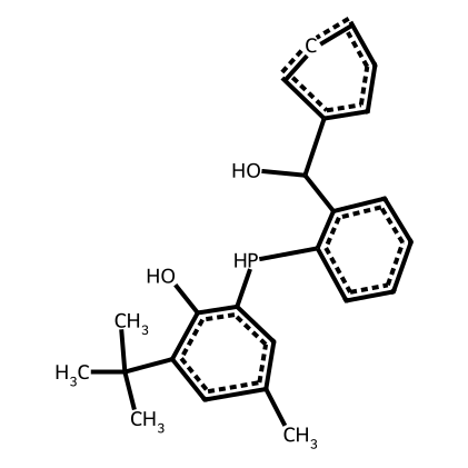 Cc1cc(Pc2ccccc2C(O)c2ccccc2)c(O)c(C(C)(C)C)c1